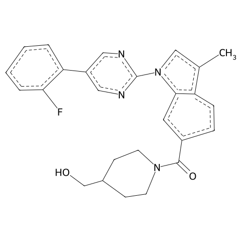 Cc1cn(-c2ncc(-c3ccccc3F)cn2)c2cc(C(=O)N3CCC(CO)CC3)ccc12